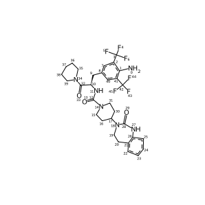 Nc1c(C(F)(F)F)cc(C[C@@H](NC(=O)N2CCC(N3CCc4ccccc4NC3=O)CC2)C(=O)N2CCCCC2)cc1C(F)(F)F